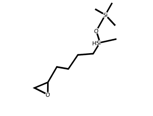 C[SiH](CCCCC1CO1)O[Si](C)(C)C